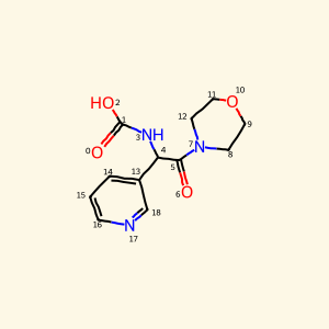 O=C(O)NC(C(=O)N1CCOCC1)c1cccnc1